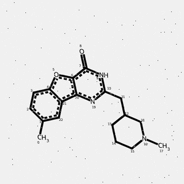 Cc1ccc2oc3c(=O)[nH]c(CC4CCCN(C)C4)nc3c2c1